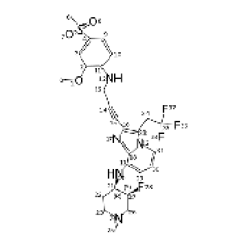 COc1cc(S(C)(=O)=O)ccc1NCC#Cc1nc2c(N[C@@H]3CCN(C)C[C@@H]3F)cccn2c1CC(F)(F)F